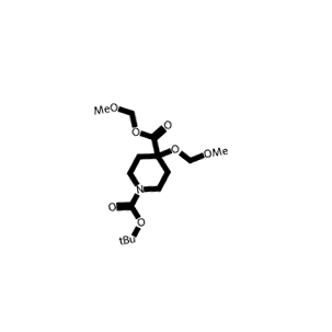 COCOC(=O)C1(OCOC)CCN(C(=O)OC(C)(C)C)CC1